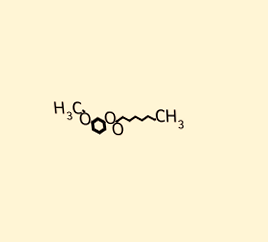 CCCCCCCC(=O)Oc1cccc(OCC)c1